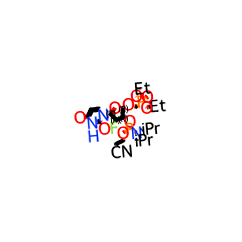 CCOP(=O)(CO[C@H]1O[C@@H](n2ccc(=O)[nH]c2=O)[C@H](F)[C@@H]1OP(OCCC#N)N(C(C)C)C(C)C)OCC